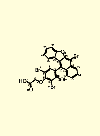 O=C(O)COc1c(Br)cc(-c2c3ccccc3c(Br)c3oc4ccccc4c23)c(O)c1Br